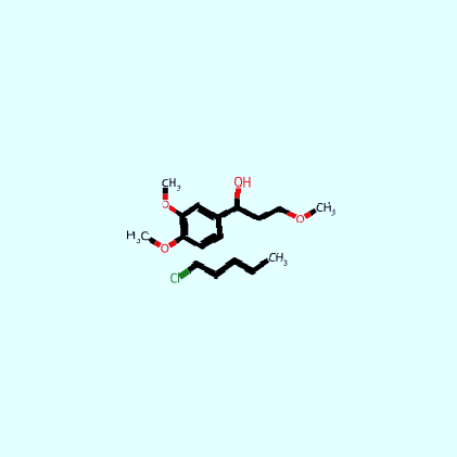 CCCCCCl.COCCC(O)c1ccc(OC)c(OC)c1